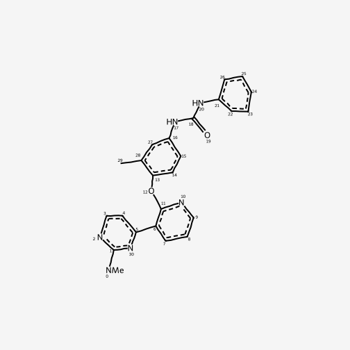 CNc1nccc(-c2cccnc2Oc2ccc(NC(=O)Nc3ccccc3)cc2C)n1